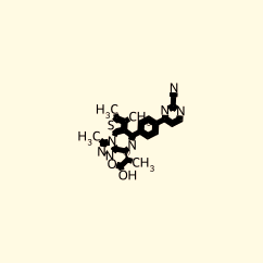 Cc1sc2c(c1C)C(c1ccc(-c3ccnc(C#N)n3)cc1)=N[C@@H](C(C)C(=O)O)c1nnc(C)n1-2